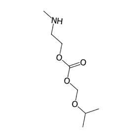 CNCCOC(=O)OCOC(C)C